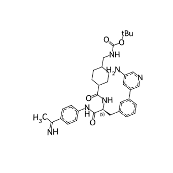 CC(=N)c1ccc(NC(=O)[C@H](Cc2cccc(-c3cncc(N)c3)c2)NC(=O)C2CCC(CNC(=O)OC(C)(C)C)CC2)cc1